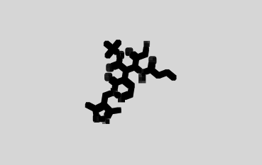 CCCC(=O)NC(C(=O)CF)C(C(=O)OC(C)(C)C)c1ccnn(Cc2c(C)noc2C)c1=O